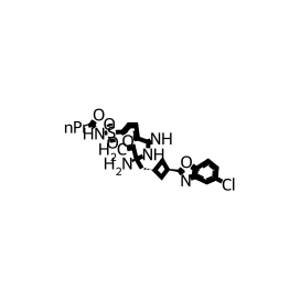 C=C[C@@](N)(C[C@H]1C[C@H](c2nc3cc(Cl)ccc3o2)C1)NC(=N)c1ccc(S(=O)(=O)NC(=O)CCC)o1